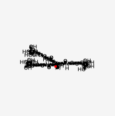 CC(C)(C)NC(COCCC(=O)NCCOCCOCCO[C@@H]1O[C@H](CO)[C@H](O)[C@H](O)[C@H]1O)(COCCC(=O)NCCOCCOCCO[C@@H]1O[C@H](CO)[C@H](O)[C@H](O)[C@H]1O)COCCC(=O)NCCOCCOCCO[C@@H]1O[C@H](CO)[C@H](O)[C@H](O)[C@H]1O